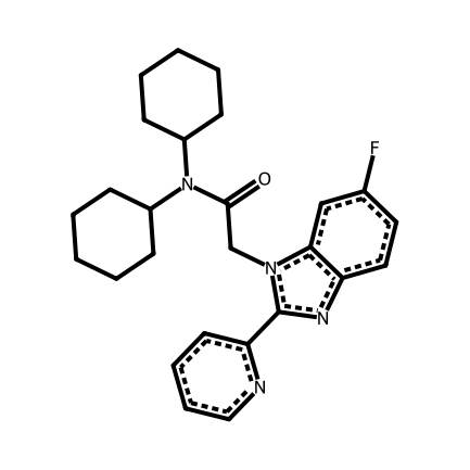 O=C(Cn1c(-c2ccccn2)nc2ccc(F)cc21)N(C1CCCCC1)C1CCCCC1